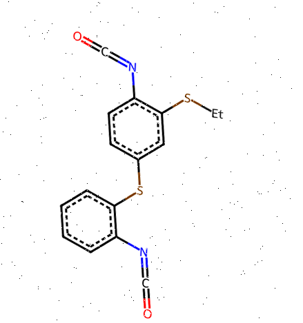 CCSc1cc(Sc2ccccc2N=C=O)ccc1N=C=O